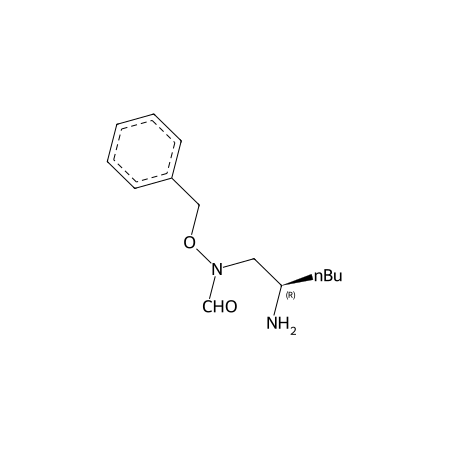 CCCC[C@@H](N)CN(C=O)OCc1ccccc1